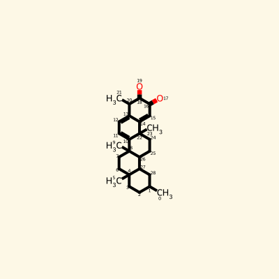 CC1CCC2(C)CCC3(C)C4=CC=C5C(=CC(=O)C(=O)C5C)C4(C)CCC3C2C1